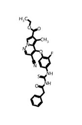 CCOC(=O)c1cn2ncc(C#N)c(Oc3ccc(NC(=S)NC(=O)Cc4ccccc4)cc3F)c2c1C